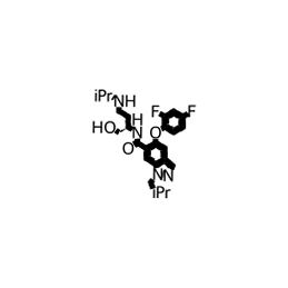 CC(C)Cn1ncc2cc(Oc3ccc(F)cc3F)c(C(=O)N[C@H](CO)CCNC(C)C)cc21